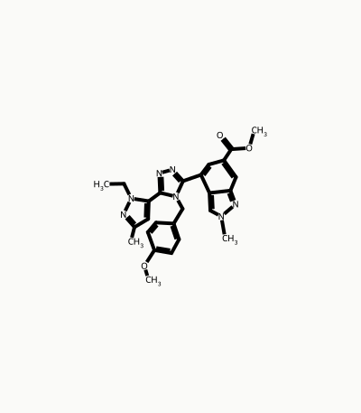 CCn1nc(C)cc1-c1nnc(-c2cc(C(=O)OC)cc3nn(C)cc23)n1Cc1ccc(OC)cc1